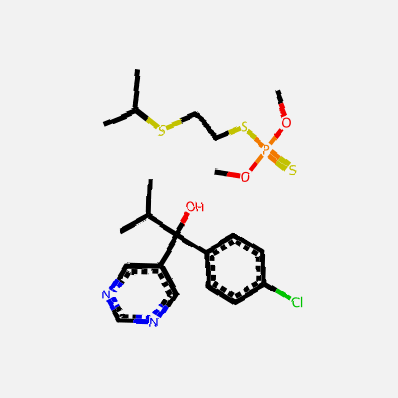 CC(C)C(O)(c1ccc(Cl)cc1)c1cncnc1.COP(=S)(OC)SCCSC(C)C